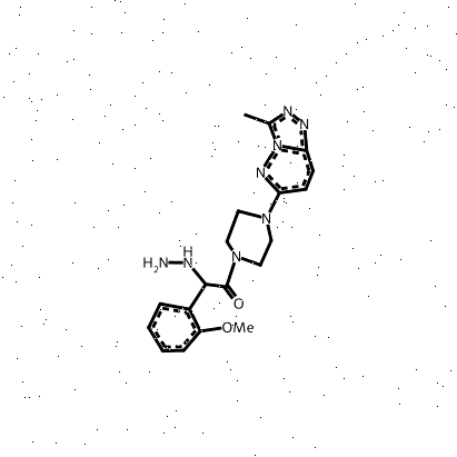 COc1ccccc1C(NN)C(=O)N1CCN(c2ccc3nnc(C)n3n2)CC1